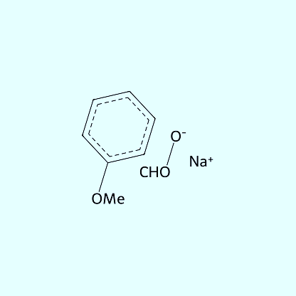 COc1ccccc1.O=C[O-].[Na+]